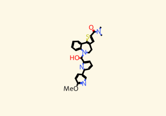 COc1ccc(-c2cccc(C(O)N3CCc4cc(C(=O)N(C)C)sc4-c4ccccc43)n2)cn1